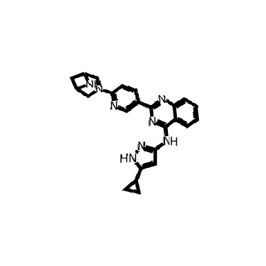 c1ccc2c(Nc3cc(C4CC4)[nH]n3)nc(-c3ccc(N4CC5CC(C4)N5)nc3)nc2c1